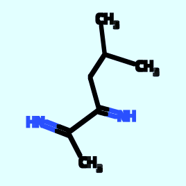 CC(=N)C(=N)CC(C)C